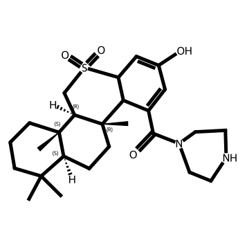 CC1(C)CCC[C@]2(C)[C@H]3CS(=O)(=O)C4C=C(O)C=C(C(=O)N5CCNCC5)C4[C@]3(C)CC[C@@H]12